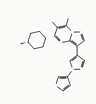 CC(=O)c1c(N)n2ncc(-c3cnn(-c4ccsc4)c3)c2nc1[C@H]1CC[C@H](C(=O)O)CC1